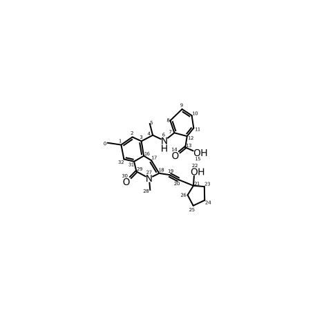 Cc1cc(C(C)Nc2ccccc2C(=O)O)c2cc(C#CC3(O)CCCC3)n(C)c(=O)c2c1